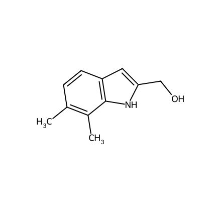 Cc1ccc2cc(CO)[nH]c2c1C